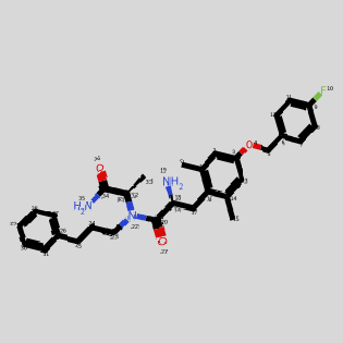 Cc1cc(OCc2ccc(F)cc2)cc(C)c1C[C@H](N)C(=O)N(CCCc1ccccc1)[C@H](C)C(N)=O